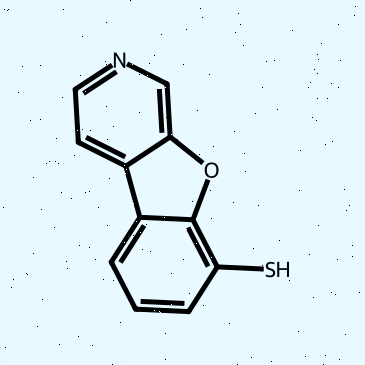 Sc1cccc2c1oc1cnccc12